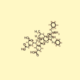 CC(C)CC(NC(=O)C(Cc1ccccc1)NC(=O)C(N)Cc1ccccc1)C(=O)NC(CCCCN(CC(=O)O)CC(=O)O)C(=O)N1CCC(C(=O)O)CC1